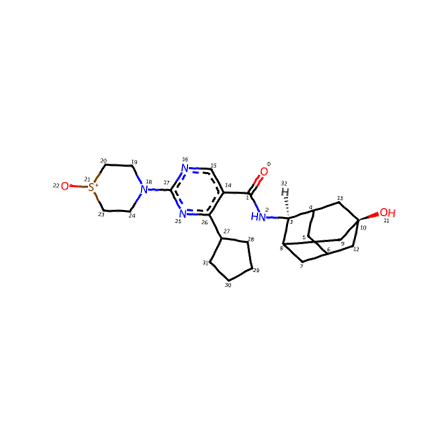 O=C(N[C@H]1C2CC3CC1C[C@@](O)(C3)C2)c1cnc(N2CC[S+]([O-])CC2)nc1C1CCCC1